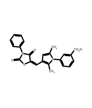 Cc1cc(/C=C2/SC(=O)N(c3ccccc3)C2=O)c(C)n1-c1cccc(C(=O)O)c1